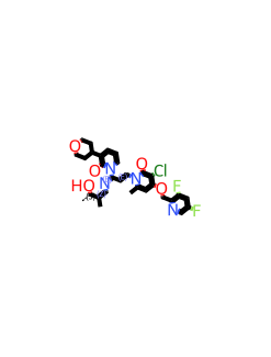 C/C(=C/N=C(\C=C\n1c(C)cc(OCc2ncc(F)cc2F)c(Cl)c1=O)n1cccc(C2CCOCC2)c1=O)[C@H](C)O